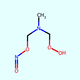 CN(COO)CON=O